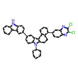 Clc1nc2ccc(-c3cccc4c3ccc3c4c4cc(-c5ccc6[nH]c7ccccc7c6c5)ccc4n3-c3ccccc3)cc2nc1Cl